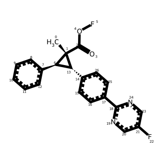 C[C@]1(C(=O)OF)[C@H](c2ccccc2)[C@H]1c1ccc(-c2ncc(F)cn2)cc1